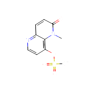 Cn1c(=O)ccc2nccc(OS(=O)(=O)C(F)(F)F)c21